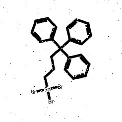 [Br][Sn]([Br])([Br])[CH2]CCC(c1ccccc1)(c1ccccc1)c1ccccc1